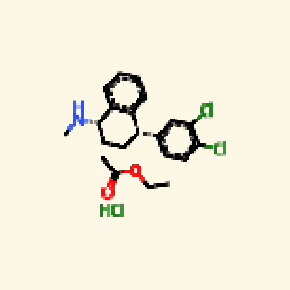 CCOC(C)=O.CN[C@H]1CC[C@@H](c2ccc(Cl)c(Cl)c2)c2ccccc21.Cl